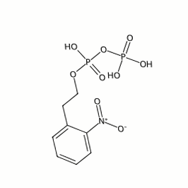 O=[N+]([O-])c1ccccc1CCOP(=O)(O)OP(=O)(O)O